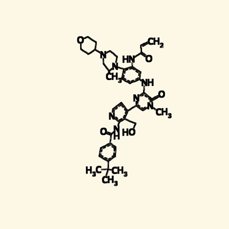 C=CC(=O)Nc1cc(Nc2nc(-c3ccnc(NC(=O)c4ccc(C(C)(C)C)cc4)c3CO)cn(C)c2=O)ccc1N1CCN(C2CCOCC2)C[C@@H]1C